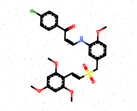 COc1cc(OC)c(/C=C/S(=O)(=O)Cc2ccc(OC)c(N/C=C\C(=O)c3ccc(Cl)cc3)c2)c(OC)c1